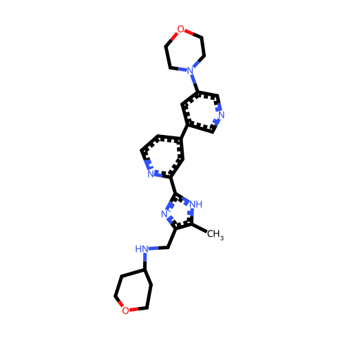 Cc1[nH]c(-c2cc(-c3cncc(N4CCOCC4)c3)ccn2)nc1CNC1CCOCC1